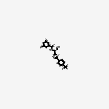 O=C(N[C@@H](CO)c1nc(-c2ccc(C(F)(F)F)cc2)no1)c1cc(F)cc(F)c1